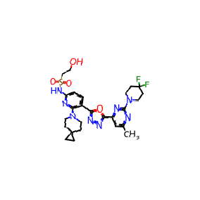 Cc1cc(-c2nnc(-c3ccc(NS(=O)(=O)CCO)nc3N3CCC4(CC3)CC4)o2)nc(N2CCC(F)(F)CC2)n1